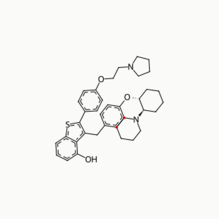 Oc1cccc2sc(-c3ccc(OCCN4CCCC4)cc3)c(Cc3ccc(O[C@@H]4CCCC[C@H]4N4CCCCC4)cc3)c12